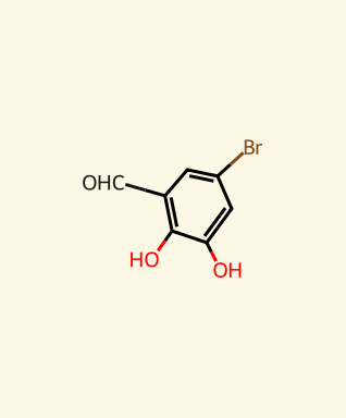 O=Cc1cc(Br)cc(O)c1O